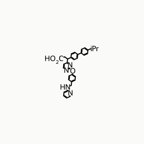 CC(C)c1ccc(-c2ccc(C(CC(=O)O)c3ccnc(Oc4ccc(CNc5ccccn5)cc4)n3)cc2)cc1